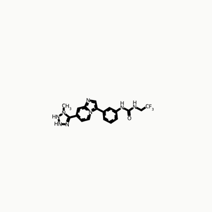 CN1NNN=C1c1ccn2c(-c3cccc(NC(=O)NCC(F)(F)F)c3)cnc2c1